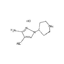 Cl.N#Cc1cn(C2CCNCC2)nc1N